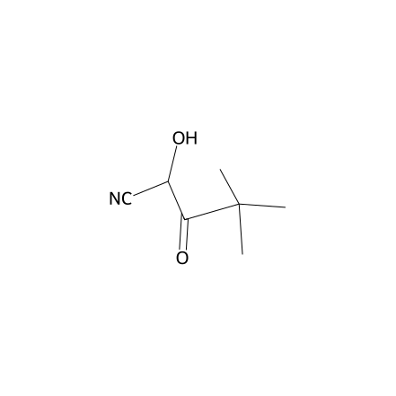 CC(C)(C)C(=O)C(O)C#N